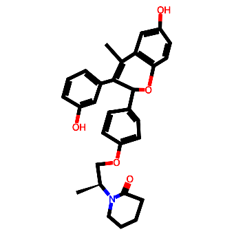 CC1=C(c2cccc(O)c2)C(c2ccc(OC[C@H](C)N3CCCCC3=O)cc2)Oc2ccc(O)cc21